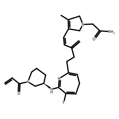 C=CC(=O)N1CCC[C@@H](NC2=NC(CCC(=C)/C=C\C3=C(C)CN(CC(N)=O)C3)=CCC=C2F)C1